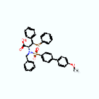 COc1ccc(-c2ccc(S(=O)(=O)N(Cc3ccccc3)[C@H](C(=O)O)[C@H](Sc3ccccc3)c3ccccc3)cc2)cc1